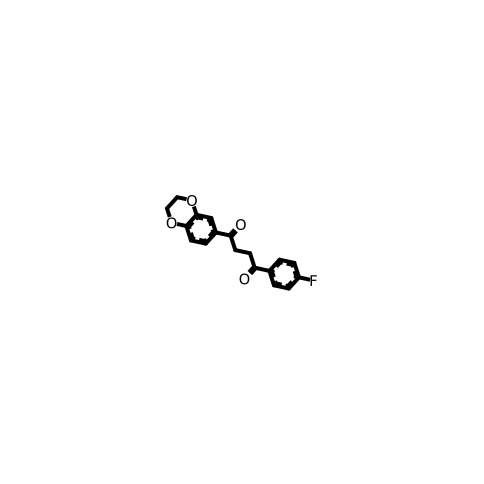 O=C(CCC(=O)c1ccc2c(c1)OCCO2)c1ccc(F)cc1